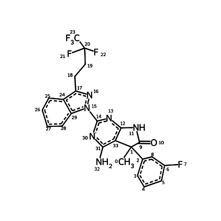 CC1(c2cccc(F)c2)C(=O)Nc2nc(-n3nc(CCC(F)(F)C(F)(F)F)c4ccccc43)nc(N)c21